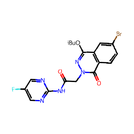 CC(C)COc1nn(CC(=O)Nc2ncc(F)cn2)c(=O)c2ccc(Br)cc12